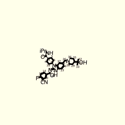 CC(C)NC(=O)[C@H]1CC[C@@H](n2/c(=N/C(=O)c3ccc(F)c(C#N)c3)[nH]c3ccc(CN4CCC(C(C)(C)O)CC4)cc32)CC1